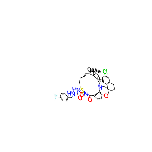 CO[C@H]1/C=C/CCCS(=O)(NC(=O)NCc2ccc(F)cc2)=NC(=O)c2ccc3c(c2)N(C[C@@H]2CC[C@H]21)C[C@@]1(CCCc2cc(Cl)ccc21)CO3